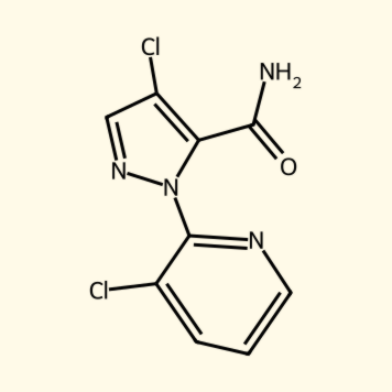 NC(=O)c1c(Cl)cnn1-c1ncccc1Cl